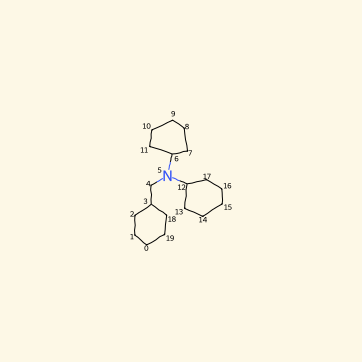 C1CCC(CN(C2CCCCC2)C2CCCCC2)CC1